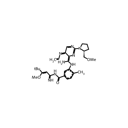 C=C/N=C1/C=NC(N2CCC[C@H]2COC)=N/C1=C(/N)Nc1cc(C(=O)NC(=N)/C=C(\OC)C(C)(C)C)ccc1C